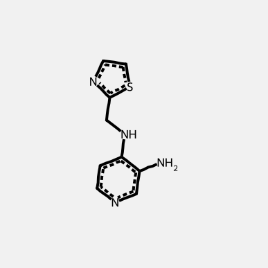 Nc1cnccc1NCc1nccs1